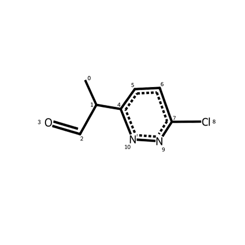 CC(C=O)c1ccc(Cl)nn1